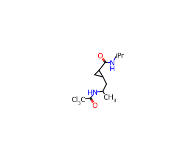 CC(C)NC(=O)C1CC1CC(C)NC(=O)C(Cl)(Cl)Cl